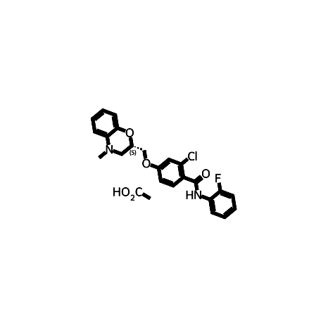 CC(=O)O.CN1C[C@@H](COc2ccc(C(=O)Nc3ccccc3F)c(Cl)c2)Oc2ccccc21